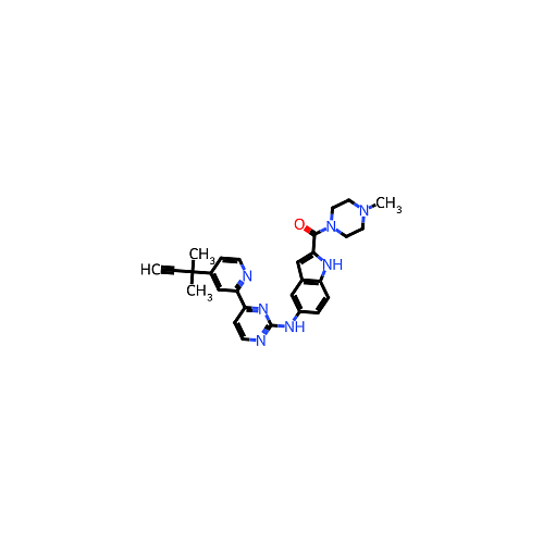 C#CC(C)(C)c1ccnc(-c2ccnc(Nc3ccc4[nH]c(C(=O)N5CCN(C)CC5)cc4c3)n2)c1